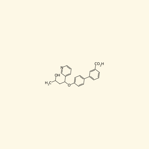 CC(O)CC(Oc1ccc(-c2cccc(C(=O)O)c2)cc1)c1cccnc1